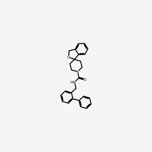 O=C(NCc1ccccc1-c1ccccc1)N1CCC2(CC1)OCc1ccccc12